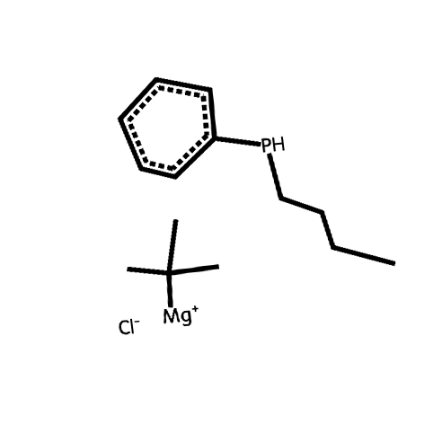 CCCCPc1ccccc1.C[C](C)(C)[Mg+].[Cl-]